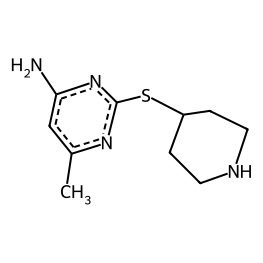 Cc1cc(N)nc(SC2CCNCC2)n1